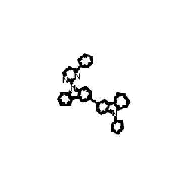 c1ccc(-c2ccnc(-n3c4ccccc4c4cc(-c5ccc6c(c5)c5ccccc5n6-c5ccccc5)ccc43)n2)cc1